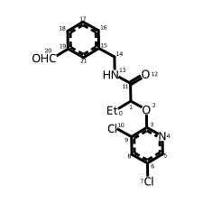 CCC(Oc1ncc(Cl)cc1Cl)C(=O)NCc1cccc(C=O)c1